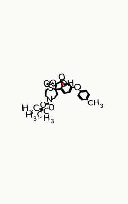 Cc1ccc(Oc2ccc(C3(CC(=O)O)CCN(C(=O)OC(C)(C)C)CCS3(=O)=O)cc2)cc1